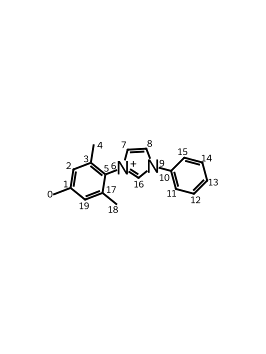 Cc1cc(C)c(-[n+]2ccn(-c3ccccc3)c2)c(C)c1